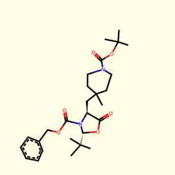 CC1(C[C@H]2C(=O)O[C@H](C(C)(C)C)N2C(=O)OCc2ccccc2)CCN(C(=O)OC(C)(C)C)CC1